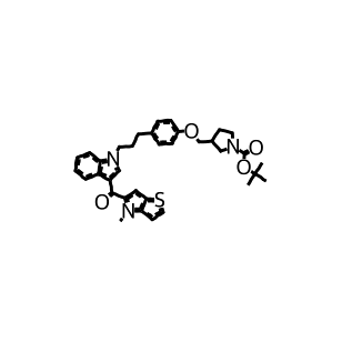 Cn1c(C(=O)c2cn(CCCc3ccc(OCC4CCN(C(=O)OC(C)(C)C)C4)cc3)c3ccccc23)cc2sccc21